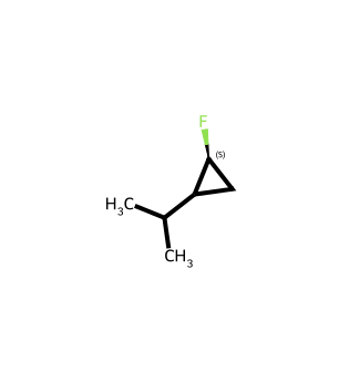 CC(C)C1C[C@@H]1F